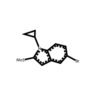 CSc1cc2cc(Br)ccc2n1C1CC1